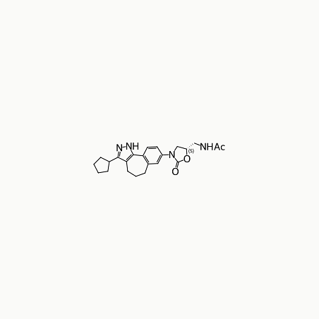 CC(=O)NC[C@H]1CN(c2ccc3c(c2)CCCc2c(C4CCCC4)n[nH]c2-3)C(=O)O1